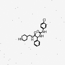 O=C(Nc1ccc(Cl)cc1)NC(C(=O)NCC1CCNCC1)c1ccccc1